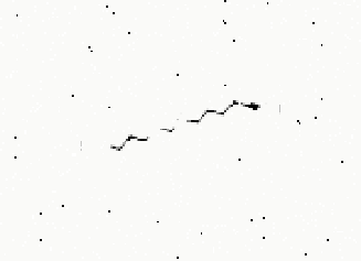 C#CCCCCOCOCCCC